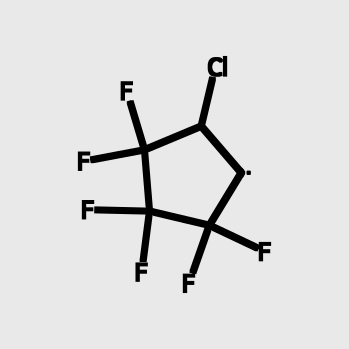 FC1(F)[CH]C(Cl)C(F)(F)C1(F)F